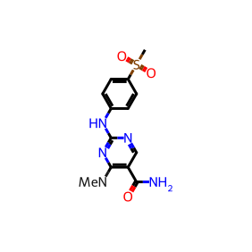 CNc1nc(Nc2ccc(S(C)(=O)=O)cc2)ncc1C(N)=O